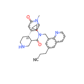 Cn1ccc([C@H]2CCNCC2C(=O)N(Cc2cc(CCC#N)cc3cccnc23)C2CC2)cc1=O